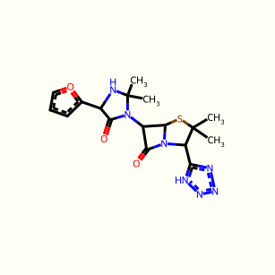 CC1(C)SC2C(N3C(=O)C(c4ccco4)NC3(C)C)C(=O)N2C1c1nnn[nH]1